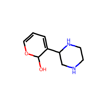 OC1OC=CC=C1C1CNCCN1